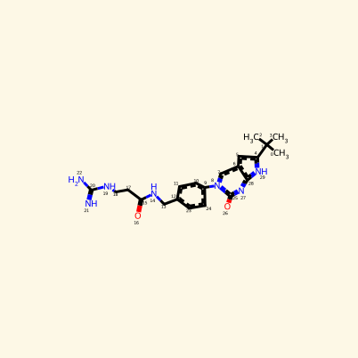 CC(C)(C)c1cc2cn(-c3ccc(CNC(=O)CCNC(=N)N)cc3)c(=O)nc2[nH]1